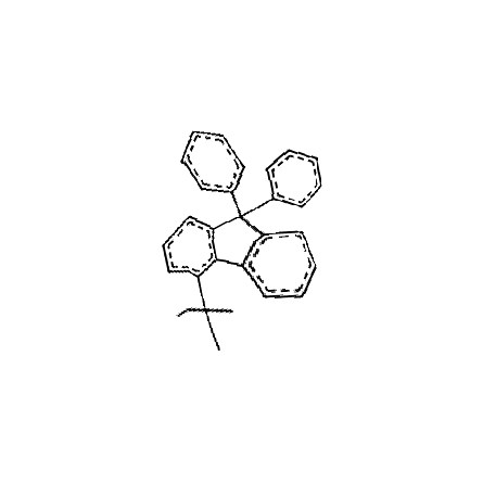 CC(C)(C)c1cccc2c1-c1ccccc1C2(c1ccccc1)c1ccccc1